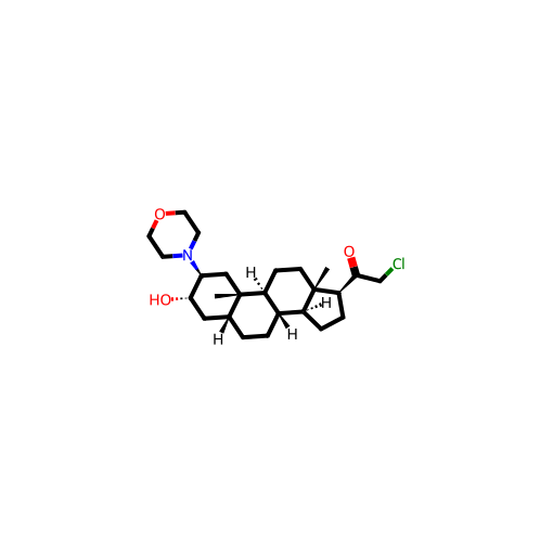 C[C@]12C[C@H](N3CCOCC3)[C@@H](O)C[C@H]1CC[C@@H]1[C@@H]2CC[C@]2(C)[C@@H](C(=O)CCl)CC[C@@H]12